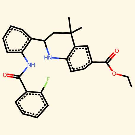 CCOC(=O)c1ccc2c(c1)C(C)(C)CC(c1ccccc1NC(=O)c1ccccc1F)N2